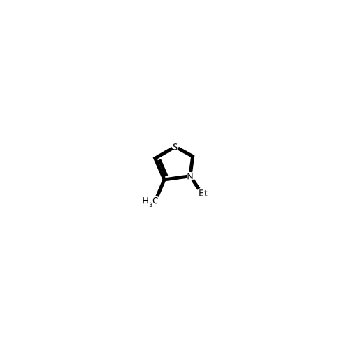 CCN1CSC=C1C